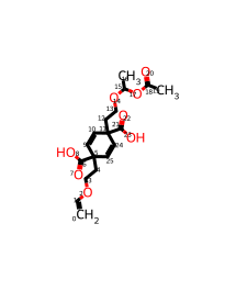 C=COCCC1(C(=O)O)C=CC(CCOC(C)OC(C)=O)(C(=O)O)C=C1